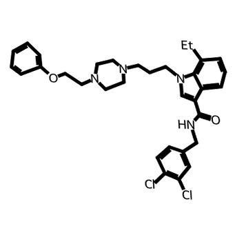 CCc1cccc2c(C(=O)NCc3ccc(Cl)c(Cl)c3)cn(CCCN3CCN(CCOc4ccccc4)CC3)c12